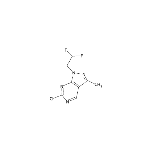 Cc1nn(CC(F)F)c2nc(Cl)ncc12